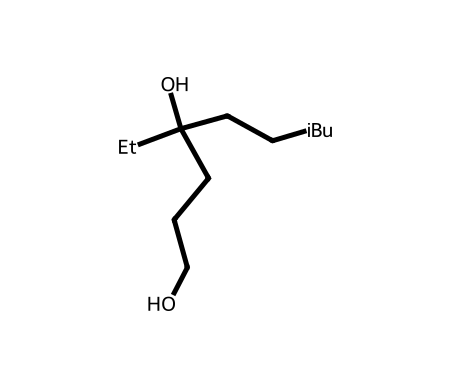 CCC(C)CCC(O)(CC)CCCO